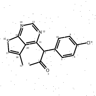 CC(=O)C(c1ccc(Cl)cc1)c1ncnc2scc(C)c12